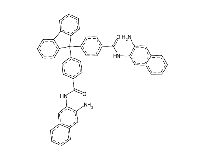 Nc1cc2ccccc2cc1NC(=O)c1ccc(C2(c3ccc(C(=O)Nc4cc5ccccc5cc4N)cc3)c3ccccc3-c3ccccc32)cc1